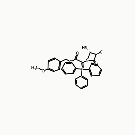 COc1ccc(COC(=O)C(N2C(=O)[C@H](Cl)[C@H]2S)=P(c2ccccc2)(c2ccccc2)c2ccccc2)cc1